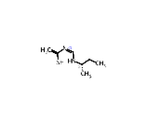 C=C(S)/N=C\N[C@@H](C)CC